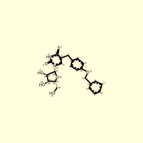 O=c1[nH]c(=S)c(Cc2ccc(OCc3ccccc3)cc2)cn1[C@@H]1O[C@H](CO)[C@@H](O)[C@H]1O